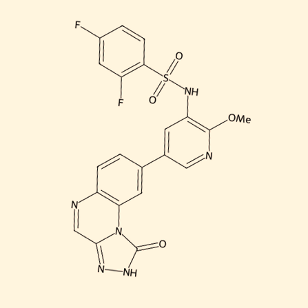 COc1ncc(-c2ccc3ncc4n[nH]c(=O)n4c3c2)cc1NS(=O)(=O)c1ccc(F)cc1F